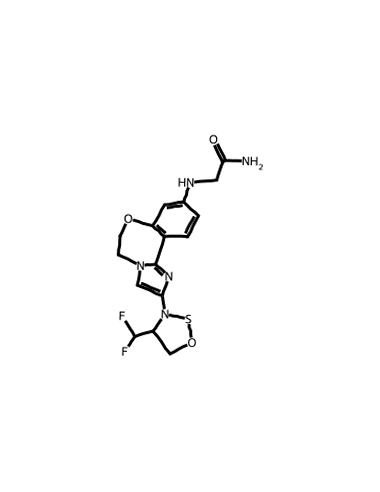 NC(=O)CNc1ccc2c(c1)OCCn1cc(N3SOCC3C(F)F)nc1-2